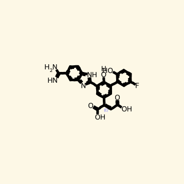 N=C(N)c1ccc2[nH]c(-c3cc(/C(=C\C(=O)O)C(=O)O)cc(-c4cc(F)ccc4O)c3O)nc2c1